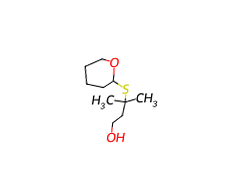 CC(C)(CCO)SC1CCCCO1